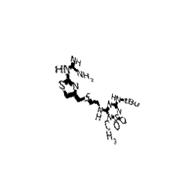 CN1C(NCCSCc2csc(NC(=N)N)n2)=NC(NC(C)(C)C)=NS1(=O)=O